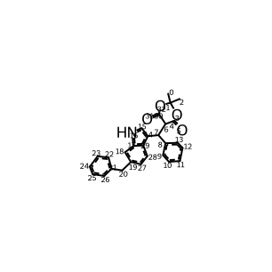 CC1(C)OC(=O)C(C(c2ccccc2)c2c[nH]c3cc(Cc4ccccc4)ccc23)C(=O)O1